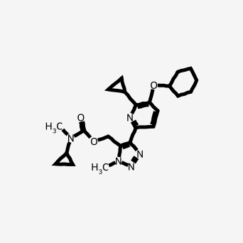 CN(C(=O)OCc1c(-c2ccc(OC3CCCCC3)c(C3CC3)n2)nnn1C)C1CC1